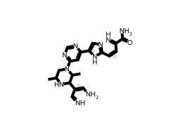 CC1CN(c2cc(-c3cnc(/C=C\C(=N)C(N)=O)[nH]3)ncn2)C(C)C(/C(C=N)=C/N)N1